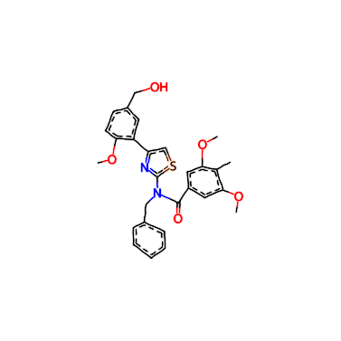 COc1ccc(CO)cc1-c1csc(N(Cc2ccccc2)C(=O)c2cc(OC)c(C)c(OC)c2)n1